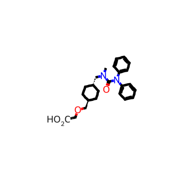 CN(C[C@H]1CC[C@H](COCC(=O)O)CC1)C(=O)N(c1ccccc1)c1ccccc1